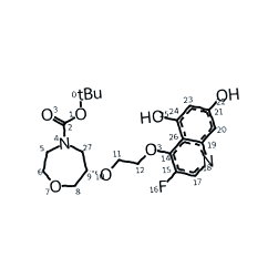 CC(C)(C)OC(=O)N1CCOC[C@@H](OCCOc2c(F)cnc3cc(O)cc(O)c23)C1